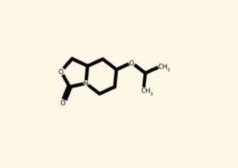 CC(C)OC1CCN2C(=O)OCC2C1